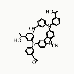 CC(O)c1cccc(N(c2cccc(C3CO3)c2)c2ccc3c(c2)c2cc(N(c4cccc(C(C)O)c4)c4cccc(C5CO5)c4)ccc2n3C#N)c1